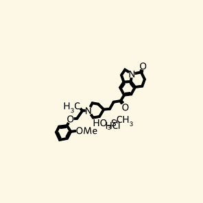 COc1ccccc1OCC(C)N1CCC(CCC(=O)c2cc3c4c(c2)CCN4C(=O)CC3)CC1.CS(=O)(=O)O.Cl